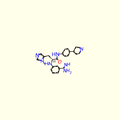 Cn1cncc1C[C@H](Nc1cccc(C(=N)N)c1)C(=O)Nc1ccc(-c2ccncc2)cc1